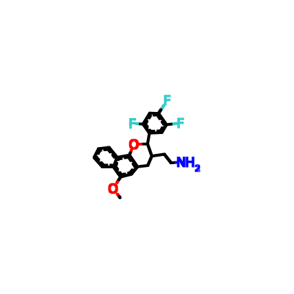 COc1cc2c(c3ccccc13)OC(c1cc(F)c(F)cc1F)C(CCN)C2